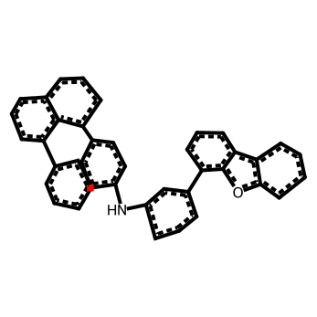 c1ccc(-c2cccc3cccc(-c4ccc(Nc5cccc(-c6cccc7c6oc6ccccc67)c5)cc4)c23)cc1